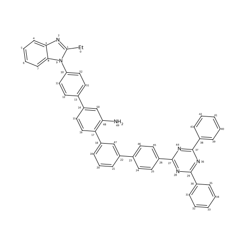 CCc1nc2ccccc2n1-c1ccc(-c2ccc(-c3cccc(-c4ccc(-c5nc(-c6ccccc6)nc(-c6ccccc6)n5)cc4)c3)c(N)c2)cc1